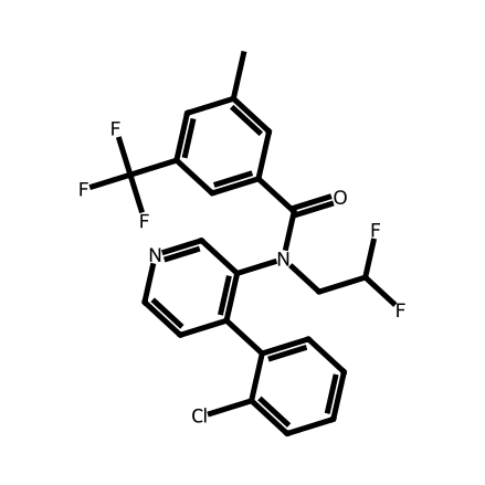 Cc1cc(C(=O)N(CC(F)F)c2cnccc2-c2ccccc2Cl)cc(C(F)(F)F)c1